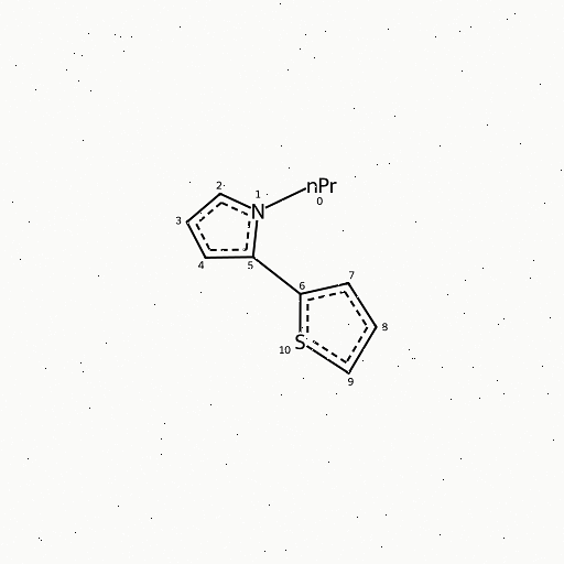 CCCn1cccc1-c1cccs1